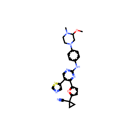 COC1CN(c2ccc(Nc3ncc(-c4cncs4)c(-c4ccc(C5(C#N)CC5)o4)n3)cc2)CCN1C